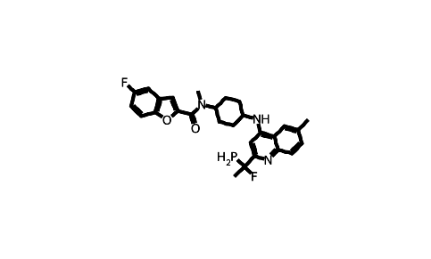 Cc1ccc2nc(C(C)(F)P)cc(NC3CCC(N(C)C(=O)c4cc5cc(F)ccc5o4)CC3)c2c1